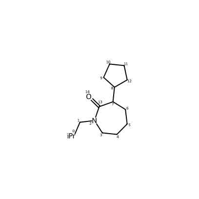 CC(C)CN1CCCCC(C2CCCC2)C1=O